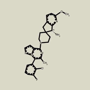 COc1ccc2c(n1)[C@H](N)C1(CCN(c3nc(C)c(-c4cccc(F)c4Cl)n4nccc34)CC1)C2